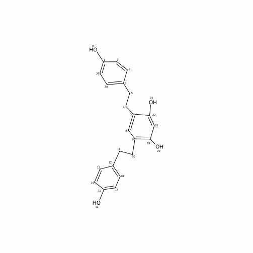 Oc1ccc(CCc2cc(CCc3ccc(O)cc3)c(O)cc2O)cc1